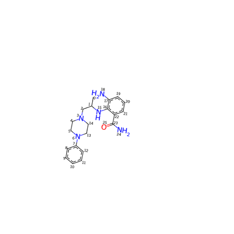 CC(CN1CCN(c2ccccc2)CC1)Nc1c(N)cccc1C(N)=O